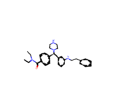 CCN(CC)C(=O)c1ccc([C@H](c2cccc(NCCc3ccccc3)c2)N2CCNCC2)cc1